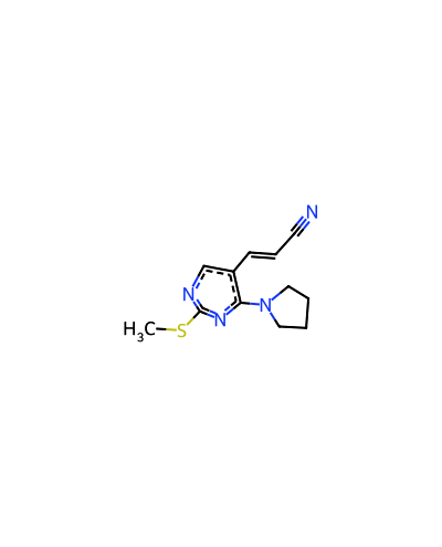 CSc1ncc(/C=C/C#N)c(N2CCCC2)n1